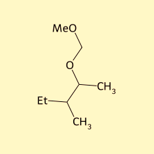 CCC(C)C(C)OCOC